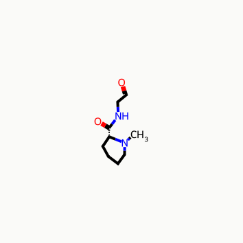 CN1CCCC[C@@H]1C(=O)NCC=O